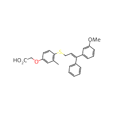 COc1cccc(C(=CCSc2ccc(OCC(=O)O)cc2C)c2ccccc2)c1